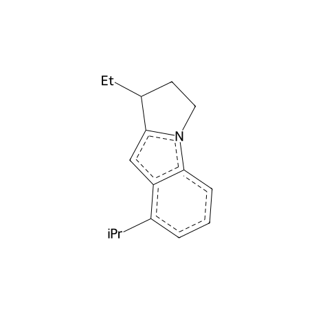 CCC1CCn2c1cc1c(C(C)C)cccc12